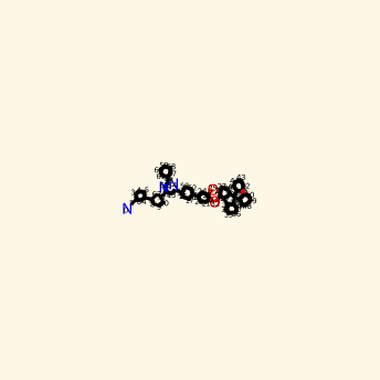 N#Cc1cccc(C2=CC=CC(c3cc(-c4ccc(-c5ccc6c(c5)Oc5ccc7c(c5O6)-c5ccccc5C7(c5ccccc5)c5ccccc5)cc4)nc(-c4ccccc4)n3)C2)c1